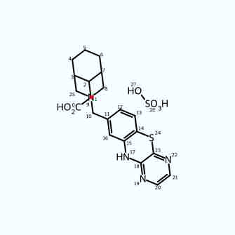 O=C(O)CC1C2CCCC1CN(Cc1ccc3c(c1)Nc1nccnc1S3)C2.O=S(=O)(O)O